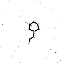 C[C@@H]1CCCN(CCF)C1